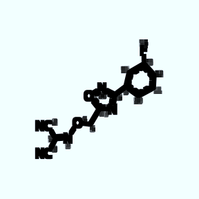 N#CC(C#N)=NOCc1nc(-c2cccc(F)c2)no1